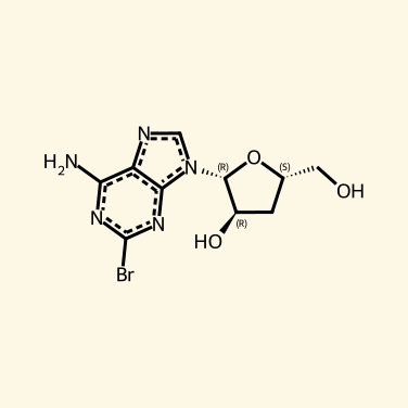 Nc1nc(Br)nc2c1ncn2[C@@H]1O[C@H](CO)C[C@H]1O